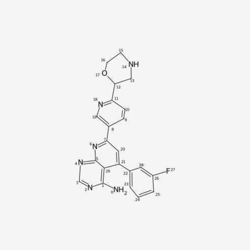 Nc1ncnc2nc(-c3ccc(C4CNCCO4)nc3)cc(-c3cccc(F)c3)c12